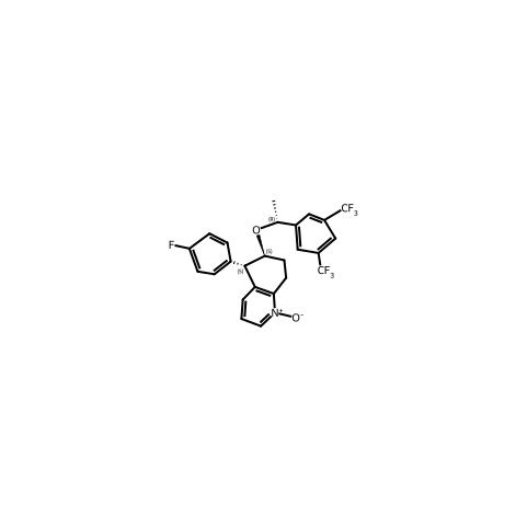 C[C@@H](O[C@H]1CCc2c(ccc[n+]2[O-])[C@@H]1c1ccc(F)cc1)c1cc(C(F)(F)F)cc(C(F)(F)F)c1